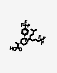 CC(C)CC[C@@H](CCCC(F)(F)F)N1CC[C@H](C(C)C(=O)O)C[C@@H]1c1ccc(C(F)(F)F)cc1